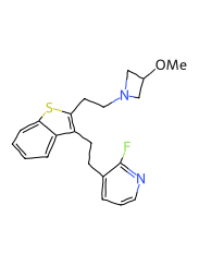 COC1CN(CCc2sc3ccccc3c2CCc2cccnc2F)C1